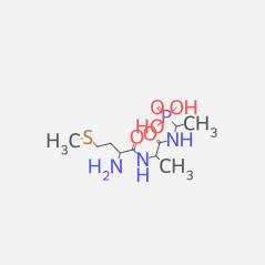 CSCCC(N)C(=O)NC(C)C(=O)NC(C)P(=O)(O)O